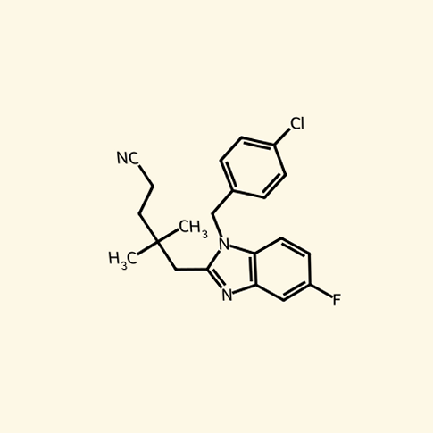 CC(C)(CCC#N)Cc1nc2cc(F)ccc2n1Cc1ccc(Cl)cc1